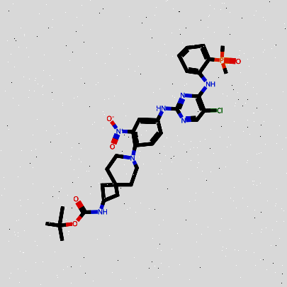 CC(C)(C)OC(=O)NC1CC2(CCN(c3ccc(Nc4ncc(Cl)c(Nc5ccccc5P(C)(C)=O)n4)cc3[N+](=O)[O-])CC2)C1